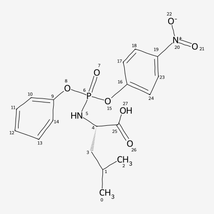 CC(C)C[C@H](NP(=O)(Oc1ccccc1)Oc1ccc([N+](=O)[O-])cc1)C(=O)O